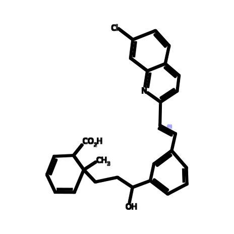 CC1(CCC(O)c2cccc(/C=C/c3ccc4ccc(Cl)cc4n3)c2)C=CC=CC1C(=O)O